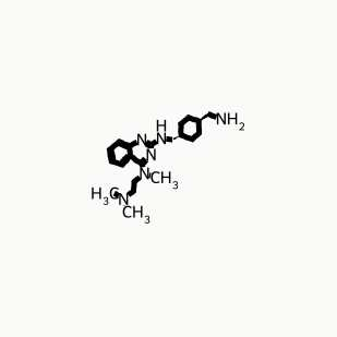 CN(C)CCN(C)c1nc(NC[C@H]2CC[C@H](CN)CC2)nc2ccccc12